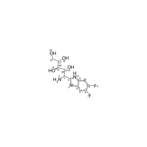 NC(c1nc2cc(F)c(F)cc2[nH]1)[C@@H](O)[C@@H](O)C(O)CO